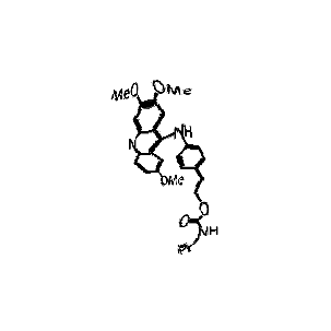 COc1ccc2nc3cc(OC)c(OC)cc3c(Nc3ccc(CCOC(=O)NC(C)C)cc3)c2c1